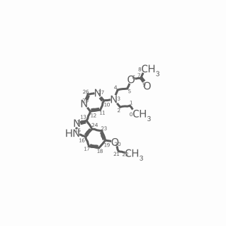 CCCN(CCOC(C)=O)c1cc(-c2n[nH]c3ccc(OCC)cc23)ncn1